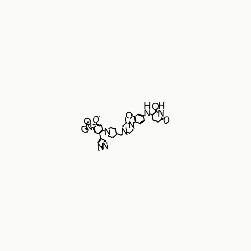 COc1cc(N2CCC(CN3CCN4c5ccc(NC6CCC(=O)NC6=O)cc5OCC4C3)CC2)c(-c2cnn(C)c2)cc1[N+](=O)[O-]